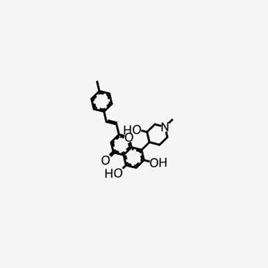 Cc1ccc(/C=C/c2cc(=O)c3c(O)cc(O)c(C4CCN(C)CC4O)c3o2)cc1